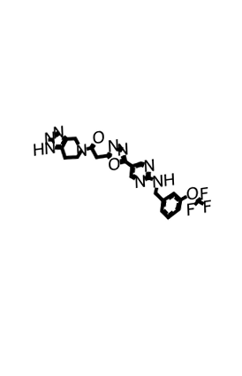 O=C(Cc1nnc(-c2cnc(NCc3cccc(OC(F)(F)F)c3)nc2)o1)N1CCc2[nH]nnc2C1